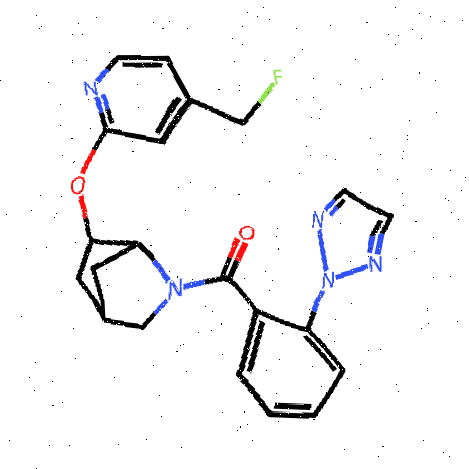 O=C(c1ccccc1-n1nccn1)N1CC2CC(Oc3cc(CF)ccn3)C1C2